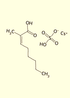 CCCCCC=C(C)C(=O)O.O=S(=O)([O-])O.[Cs+]